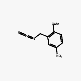 COc1ccc([N+](=O)[O-])cc1CN=[N+]=[N-]